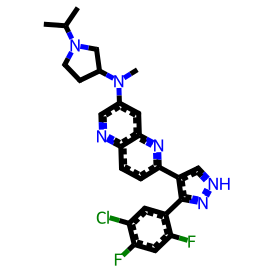 CC(C)N1CCC(N(C)c2cnc3ccc(-c4c[nH]nc4-c4cc(Cl)c(F)cc4F)nc3c2)C1